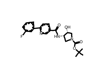 CC(C)(C)OC(=O)N1C[C@@H](O)[C@@H](NC(=O)c2ccc(-c3cccc(F)c3)nc2)C1